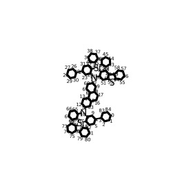 c1ccc(-c2ccc3c(c2)N(c2ccc4c(ccc5cc(N6c7cc(-c8ccccc8)ccc7[Si](c7ccccc7)(c7ccccc7)c7cc8c(cc76)sc6ccccc68)ccc54)c2)c2ccccc2[Si]3(c2ccccc2)c2ccccc2)cc1